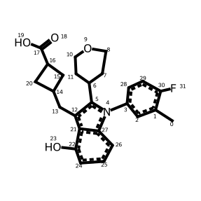 Cc1cc(-n2c(C3CCOCC3)c(CC3CC(C(=O)O)C3)c3c(O)cccc32)ccc1F